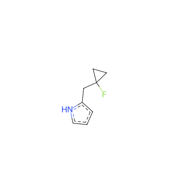 FC1(Cc2ccc[nH]2)CC1